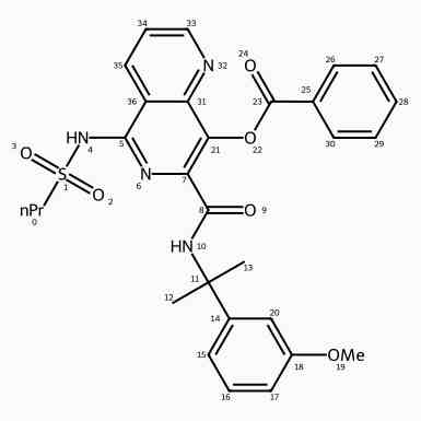 CCCS(=O)(=O)Nc1nc(C(=O)NC(C)(C)c2cccc(OC)c2)c(OC(=O)c2ccccc2)c2ncccc12